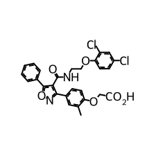 Cc1cc(-c2noc(-c3ccccc3)c2C(=O)NCCOc2ccc(Cl)cc2Cl)ccc1OCC(=O)O